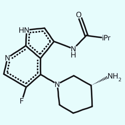 CC(C)C(=O)Nc1c[nH]c2ncc(F)c(N3CCC[C@@H](N)C3)c12